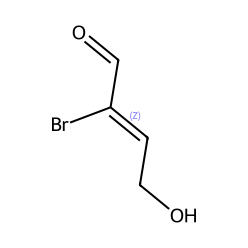 O=C/C(Br)=C/CO